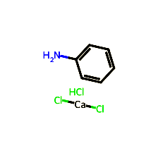 Cl.Nc1ccccc1.[Cl][Ca][Cl]